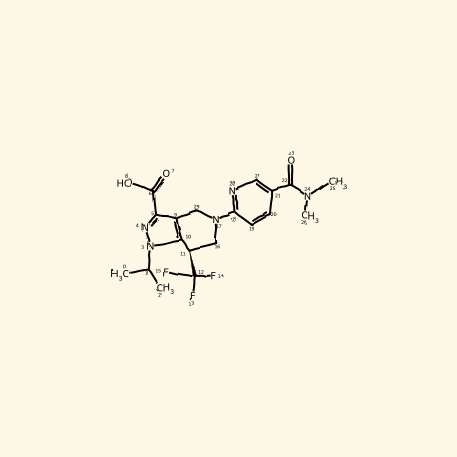 CC(C)n1nc(C(=O)O)c2c1[C@H](C(F)(F)F)CN(c1ccc(C(=O)N(C)C)cn1)C2